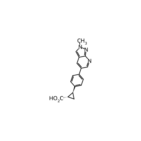 Cn1cc2cc(-c3ccc([C@H]4C[C@@H]4C(=O)O)cc3)cnc2n1